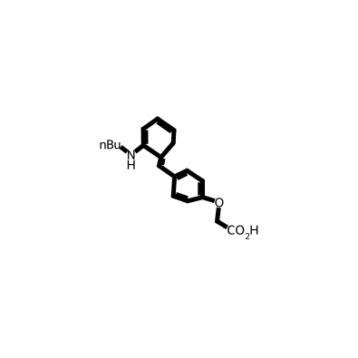 CCCCNC1=CC=CCC1=Cc1ccc(OCC(=O)O)cc1